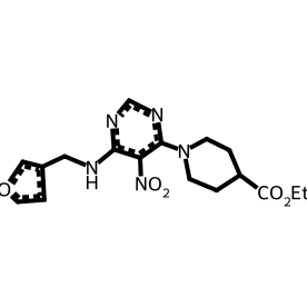 CCOC(=O)C1CCN(c2ncnc(NCc3ccoc3)c2[N+](=O)[O-])CC1